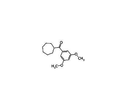 COc1cc(OC)cc(C(=O)C2CCCCCC2)c1